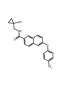 O=C(NCC1(O)CC1)c1ccc2cc(Oc3ccc(C(F)(F)F)cn3)ccc2n1